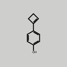 Oc1ccc(C2=CCC2)cc1